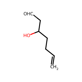 C=CCCC(O)CC=O